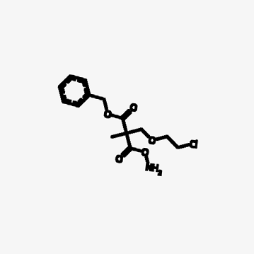 CC(COCCCl)(C(=O)ON)C(=O)OCc1ccccc1